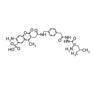 Cc1c(CC(=O)NCc2ccc(CC(=O)NNC(=O)[C@H](N)CC(C)C)cc2)c(=O)oc2cc(N)c(S(=O)(=O)O)cc12